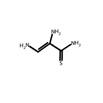 NC=C(N)C(N)=S